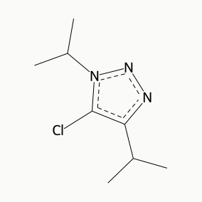 CC(C)c1nnn(C(C)C)c1Cl